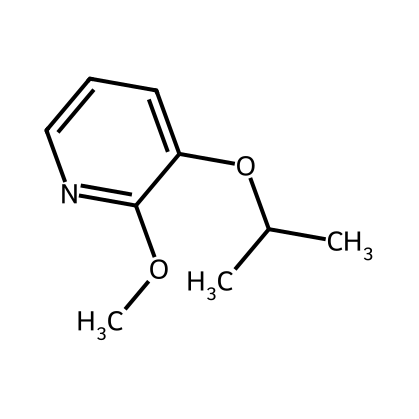 COc1ncccc1OC(C)C